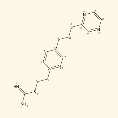 N=C(N)SCCc1ccc(CCSc2cnccn2)cc1